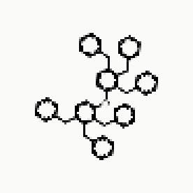 c1ccc(Cc2ccc(Oc3ccc(Cc4ccccc4)c(Cc4ccccc4)c3Cc3ccccc3)c(Cc3ccccc3)c2Cc2ccccc2)cc1